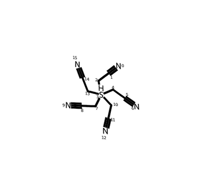 N#CC[SH](CC#N)(CC#N)(CC#N)CC#N